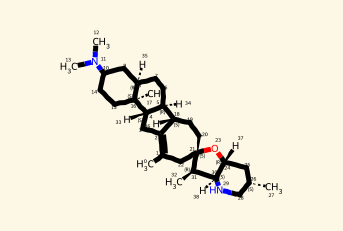 CC1=C2C[C@H]3[C@@H](CC[C@@H]4CC(N(C)C)CC[C@@]43C)[C@@H]2CC[C@@]2(C1)O[C@@H]1C[C@H](C)CN[C@H]1[C@H]2C